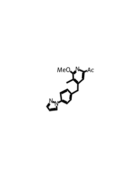 COc1nc(C(C)=O)cc(Cc2ccc(-n3cccn3)cc2)c1C